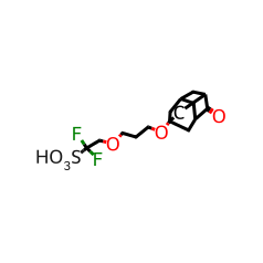 O=C1C2CC3CC1CC(OCCCOCC(F)(F)S(=O)(=O)O)(C3)C2